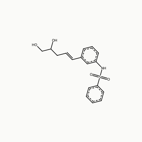 O=S(=O)(Nc1cccc(/C=C/CC(O)CO)c1)c1ccccc1